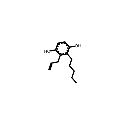 C=CCc1c(O)ccc(O)c1CCCCC